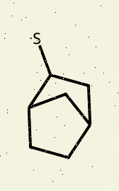 [S]C1CC2CCC1C2